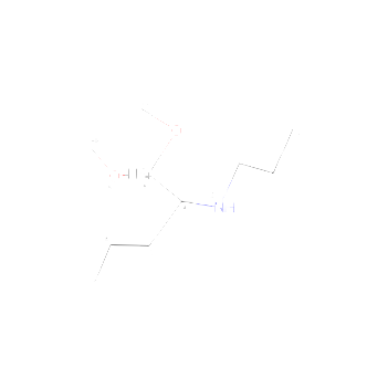 CCCNC(CCC)[SiH](OC)OC